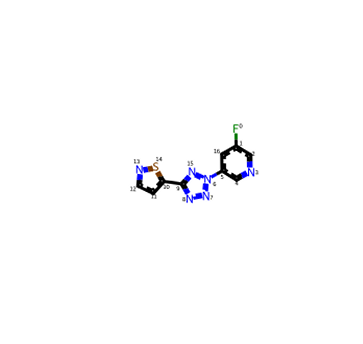 Fc1cncc(-n2nnc(-c3ccns3)n2)c1